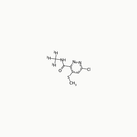 [2H]C([2H])([2H])NC(=O)c1nnc(Cl)cc1SC